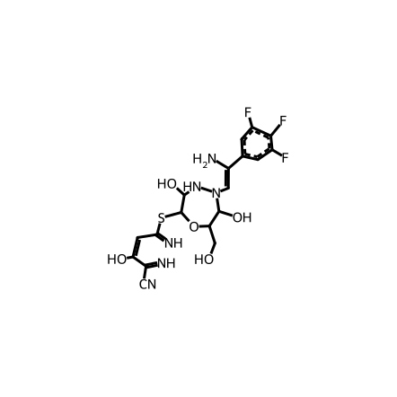 N#CC(=N)/C(O)=C\C(=N)SC1OC(CO)C(O)N(/C=C(\N)c2cc(F)c(F)c(F)c2)NC1O